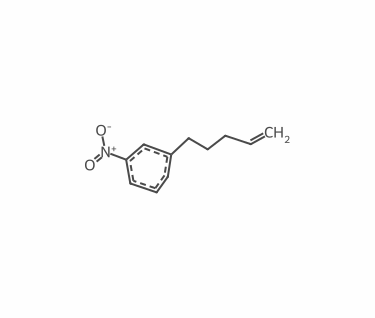 C=CCCCc1cccc([N+](=O)[O-])c1